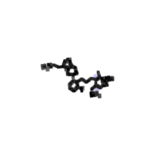 CC/C=C(CN)\C(CCCc1c(F)cccc1-c1ccc2ncc(CCN)n2c1)=C(\C)NC